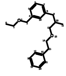 CCOCc1cccc(CC(C)COCCc2ccccc2)c1